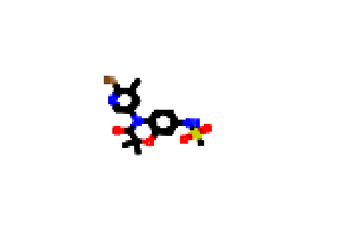 Cc1cc(N2C(=O)C(C)(C)Oc3cc(NS(C)(=O)=O)ccc32)cnc1Br